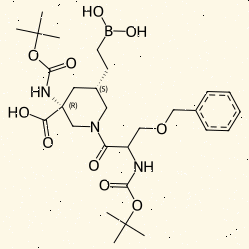 CC(C)(C)OC(=O)NC(COCc1ccccc1)C(=O)N1C[C@@H](CCB(O)O)C[C@](NC(=O)OC(C)(C)C)(C(=O)O)C1